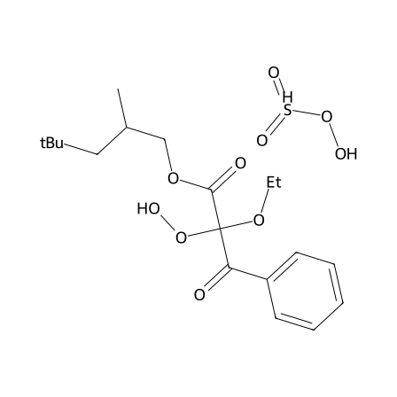 CCOC(OO)(C(=O)OCC(C)CC(C)(C)C)C(=O)c1ccccc1.O=[SH](=O)OO